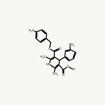 CC1=C(C(=O)OCc2ccc(C)cc2)C(c2cccc([N+](=O)[O-])c2)C(C(=O)OC(C)C)=C(C)N1